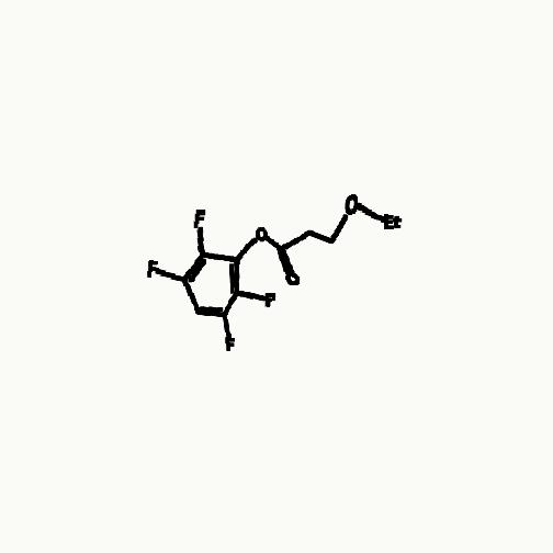 CCOCCC(=O)Oc1c(F)c(F)cc(F)c1F